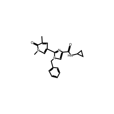 Cc1cc(-c2nc(C(=O)NC3CC3)cn2Cc2ccccc2)cn(C)c1=O